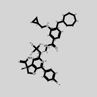 C=C(N)[C@@]1(C)COc2c1cc([C@@H](CNC(=O)c1ccc(CC3CCCCCC3)c(OCC3CC3)c1)C(F)(F)F)nc2-c1ccc(F)cc1